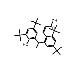 CC(c1cc(C(C)(C)C)cc(C(C)(C)C)c1O)c1cc(C(C)(C)C)cc(C(C)(C)C)c1C=CC(=O)O